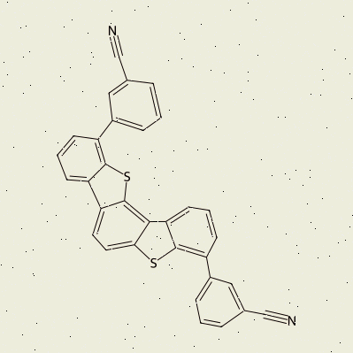 N#Cc1cccc(-c2cccc3c2sc2c3ccc3sc4c(-c5cccc(C#N)c5)cccc4c32)c1